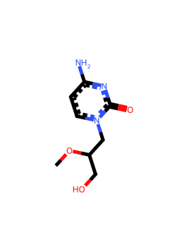 COC(CO)Cn1ccc(N)nc1=O